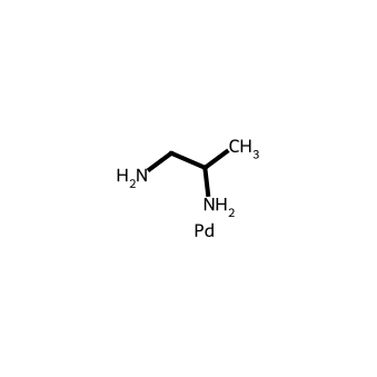 CC(N)CN.[Pd]